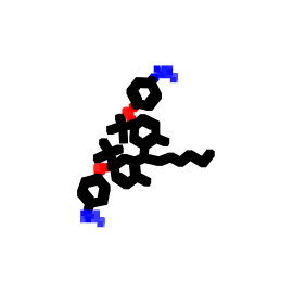 CCCCCCC(C1=C(C)C=CC(Oc2ccc(N)cc2)(C(C)(C)C)C1)C1=C(C)C=CC(Oc2ccc(N)cc2)(C(C)(C)C)C1